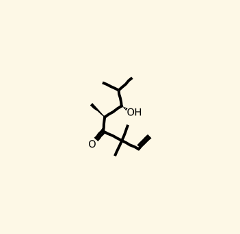 C=CC(C)(C)C(=O)[C@@H](C)[C@@H](O)C(C)C